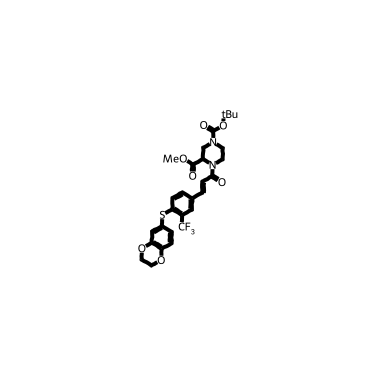 COC(=O)C1CN(C(=O)OC(C)(C)C)CCN1C(=O)/C=C/c1ccc(Sc2ccc3c(c2)OCCO3)c(C(F)(F)F)c1